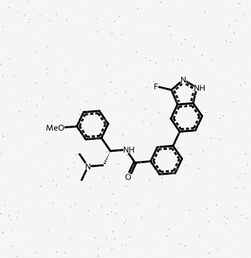 COc1cccc([C@@H](CN(C)C)NC(=O)c2cccc(-c3ccc4[nH]nc(F)c4c3)c2)c1